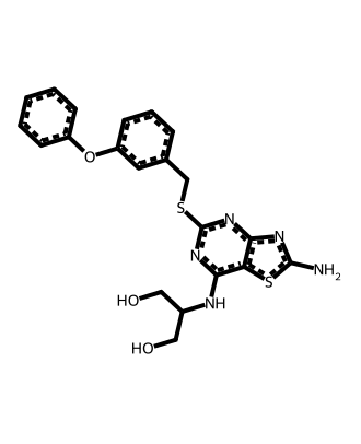 Nc1nc2nc(SCc3cccc(Oc4ccccc4)c3)nc(NC(CO)CO)c2s1